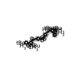 CN(C)c1c(-c2ccc(C(C)(C)C)cc2)cc(C(=O)C=Cc2ccc(C(=O)OC(=O)c3ccc(C=CC(O)c4cc(-c5ccccc5)c(N(C)C)c(C(C)(C)C)c4C(C)(C)C)cc3)cc2)cc1C(C)(C)C